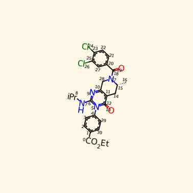 CCOC(=O)c1ccc(-n2c(NC(C)C)nc3c(c2=O)C[C@@H](C)N(C(=O)c2ccc(Cl)c(Cl)c2)C3)cc1